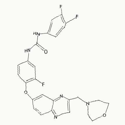 O=C(Nc1ccc(F)c(F)c1)Nc1ccc(Oc2ccc3ncc(CN4CCOCC4)nc3c2)c(F)c1